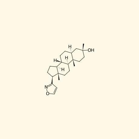 C[C@@]1(O)CC[C@@]2(C)[C@@H](CC[C@@H]3[C@@H]2CC[C@]2(C)[C@@H](c4ccon4)CC[C@@H]32)C1